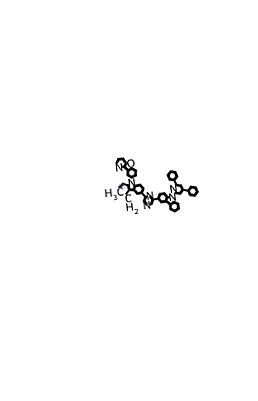 C=Cc1c(/C=C\C)n(-c2ccc3oc4cccnc4c3c2)c2ccc(-c3cncc(-c4ccc5c(c4)c4ccccc4n5-c4cc(-c5ccccc5)cc(-c5ccccc5)n4)n3)cc12